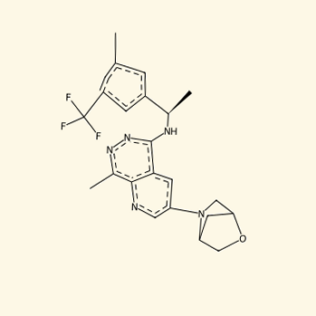 Cc1cc([C@@H](C)Nc2nnc(C)c3ncc(N4CC5CC4CO5)cc23)cc(C(F)(F)F)c1